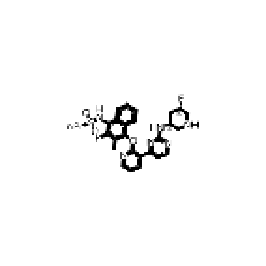 CCCS(=O)(=O)Nc1c(F)c(C)c(Oc2ncccc2-c2ccnc(N[C@@H]3CNC[C@@H](F)C3)n2)c2ccccc12